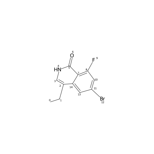 CCc1c[nH]c(=O)c2c(F)cc(Br)cc12